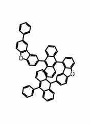 C1=CC2=C(c3ccccc3)c3ccccc3C(c3ccc4oc5cccc(-c6c7ccccc7c(-c7ccc8oc9ccc(-c%10ccccc%10)cc9c8c7)c7ccccc67)c5c4c3)C2C=C1